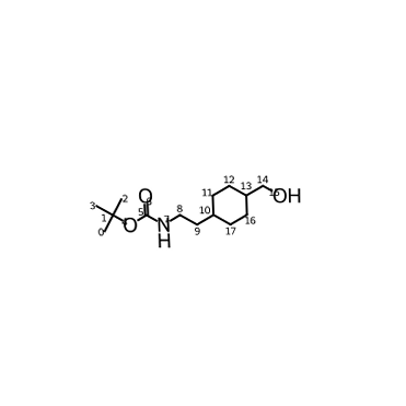 CC(C)(C)OC(=O)NCCC1CCC(CO)CC1